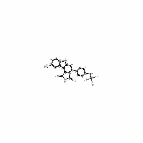 O=C1NC(=O)c2c1c(-c1ccc(OC(F)(F)F)cc1)cc1[nH]c3ccc(O)cc3c21